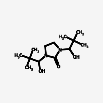 CC(C)(C)C(O)N1CCN(C(O)C(C)(C)C)C1=O